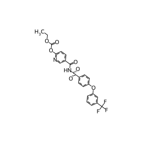 CCOC(=O)Oc1ccc(C(=O)NS(=O)(=O)c2ccc(Oc3cccc(C(F)(F)F)c3)cc2)cn1